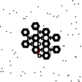 c1ccc(N2c3cc4c(cc3B3c5ccccc5Oc5cccc2c53)B2c3c(cccc3N(c3ccccc3)c3cc5c6c(c32)Oc2ccccc2B6c2ccccc2N5c2ccccc2)N4c2ccccc2)cc1